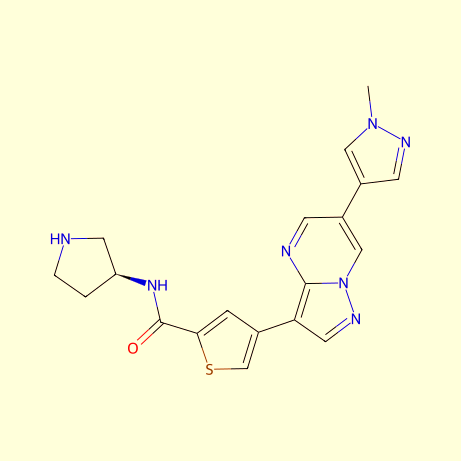 Cn1cc(-c2cnc3c(-c4csc(C(=O)N[C@H]5CCNC5)c4)cnn3c2)cn1